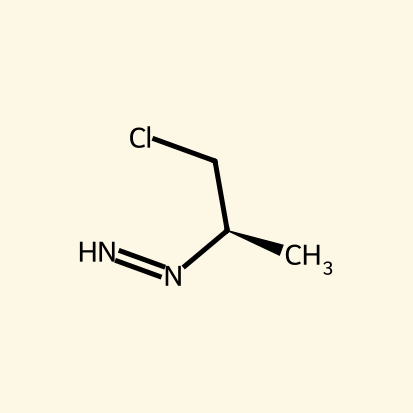 C[C@H](CCl)N=N